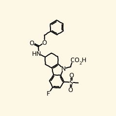 CS(=O)(=O)c1cc(F)cc2c3c(n(CC(=O)O)c12)CCC(NC(=O)OCc1ccccc1)C3